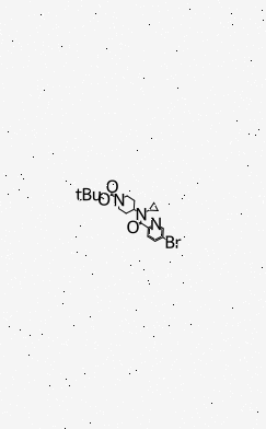 CC(C)(C)OC(=O)N1CCC(N(C(=O)c2ccc(Br)cn2)C2CC2)CC1